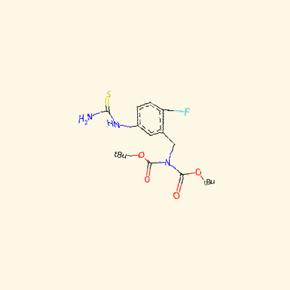 CC(C)(C)OC(=O)N(Cc1cc(NC(N)=S)ccc1F)C(=O)OC(C)(C)C